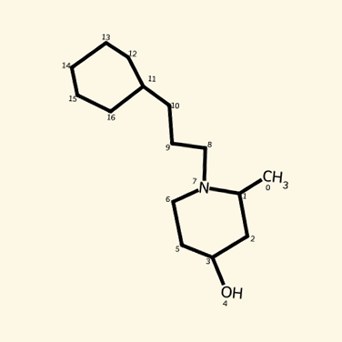 CC1CC(O)CCN1CCCC1CCCCC1